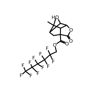 CC1(C)C2CC3(C(=O)OCC(F)(F)C(F)(F)C(F)(F)C(F)(F)C(F)(F)F)C(=O)OC(C2O)C31